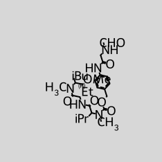 CCC(C)C([C@@H](CC)OC)N(C)C(=O)CNC(=O)C(C(C)C)N(C)C(=O)OCc1ccc(NC(=O)CNC=O)cc1